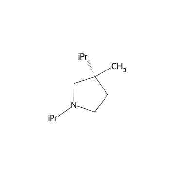 CC(C)N1CC[C@@](C)(C(C)C)C1